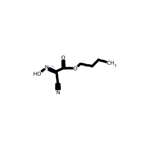 CCCCOC(=O)/C(C#N)=N/O